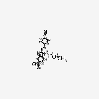 CCOCCCn1c(CCc2ccc(C#N)cc2)nc2cc([N+](=O)[O-])ccc21